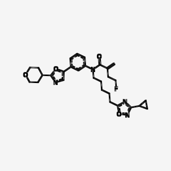 C=C(CCF)C(=O)N(CCCCCc1nc(C2CC2)no1)c1cccc(-c2cnc(C3CCOCC3)o2)c1